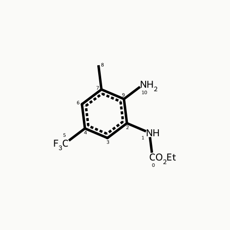 CCOC(=O)Nc1cc(C(F)(F)F)cc(C)c1N